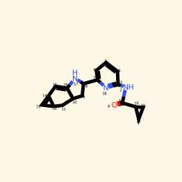 O=C(Nc1cccc(C2CC3CC4C=C4C=C3N2)n1)C1CC1